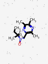 CCC(C)(C)/[N+]([O-])=C\c1nc(C)c(C)nc1C